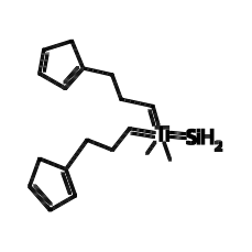 [CH3][Ti]([CH3])(=[SiH2])(=[CH]CCC1=CC=CC1)=[CH]CCC1=CC=CC1